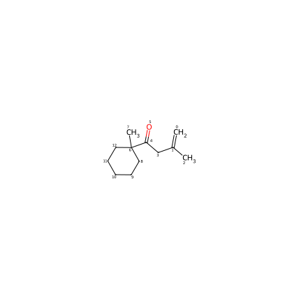 C=C(C)CC(=O)C1(C)CCCCC1